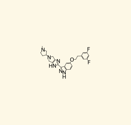 CN1CCC(N2Cc3nc(-c4n[nH]c5ccc(OCCc6cc(F)cc(F)c6)cc45)[nH]c3C2)C1